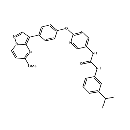 COc1ccn2ncc(-c3ccc(Oc4ncc(NC(=O)Nc5cccc(C(F)F)c5)cn4)cc3)c2n1